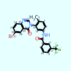 Cc1ccc(NC(=O)c2cccc(C(F)(F)F)c2)cc1-n1cnc2ccc(Br)cc2c1=O